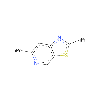 CC(C)c1cc2nc(C(C)C)sc2cn1